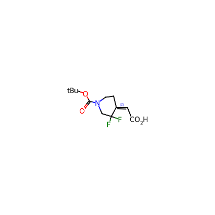 CC(C)(C)OC(=O)N1CC/C(=C/C(=O)O)C(F)(F)C1